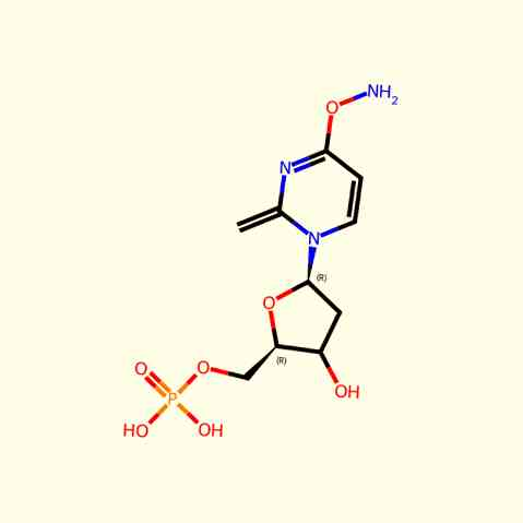 C=C1N=C(ON)C=CN1[C@H]1CC(O)[C@@H](COP(=O)(O)O)O1